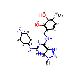 CCn1nnc2c(NCc3ccc(OC)c(O)c3O)nc(NC3CCC(N)CC3)nc21